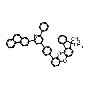 CC1(C)c2ccccc2-c2c1ccc1c2Oc2c(cccc2-c2ccc(-c3cc(-c4ccccc4)nc(-c4ccc5c(ccc6ccccc65)c4)c3)cc2)O1